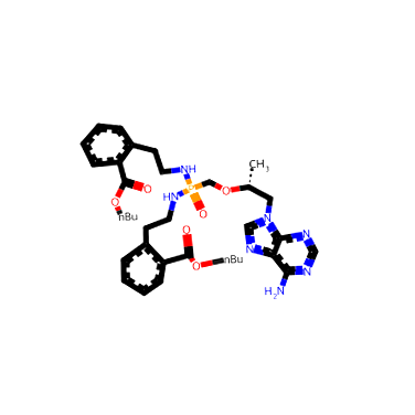 CCCCOC(=O)c1ccccc1CCNP(=O)(CO[C@H](C)Cn1cnc2c(N)ncnc21)NCCc1ccccc1C(=O)OCCCC